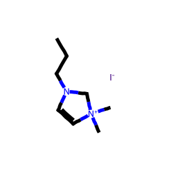 CCCN1C=C[N+](C)(C)C1.[I-]